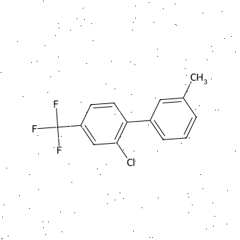 Cc1c[c]cc(-c2ccc(C(F)(F)F)cc2Cl)c1